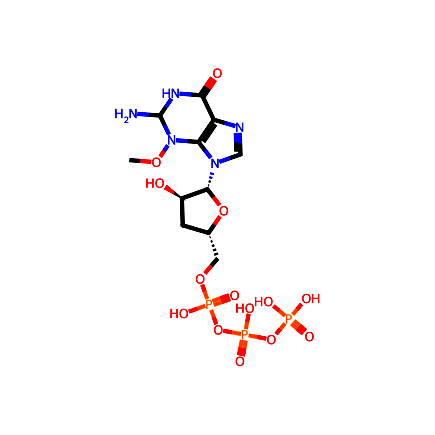 CON1c2c(ncn2[C@@H]2O[C@H](COP(=O)(O)OP(=O)(O)OP(=O)(O)O)C[C@H]2O)C(=O)NC1N